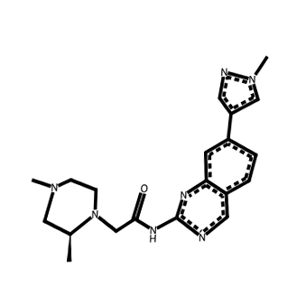 C[C@H]1CN(C)CCN1CC(=O)Nc1ncc2ccc(-c3cnn(C)c3)cc2n1